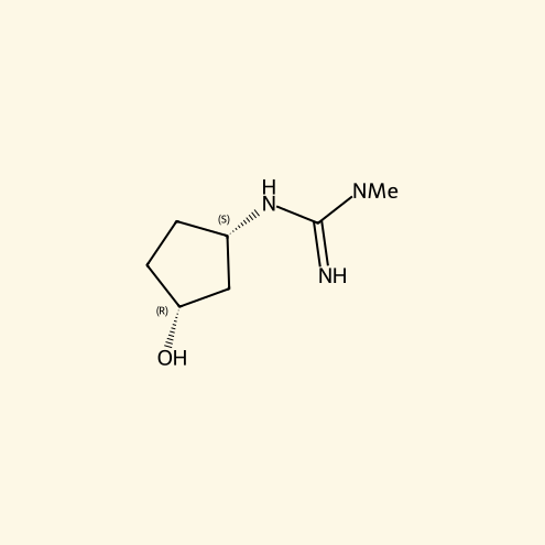 CNC(=N)N[C@H]1CC[C@@H](O)C1